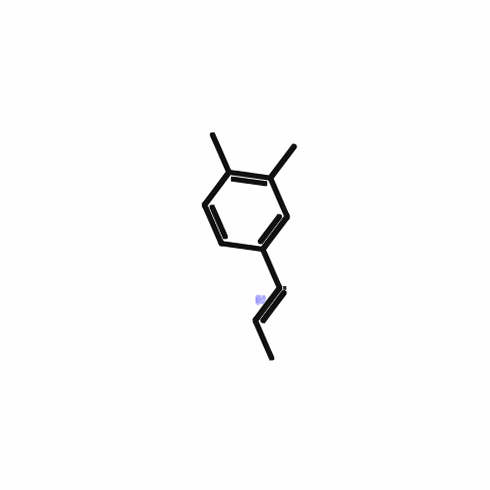 C/C=[C]/c1ccc(C)c(C)c1